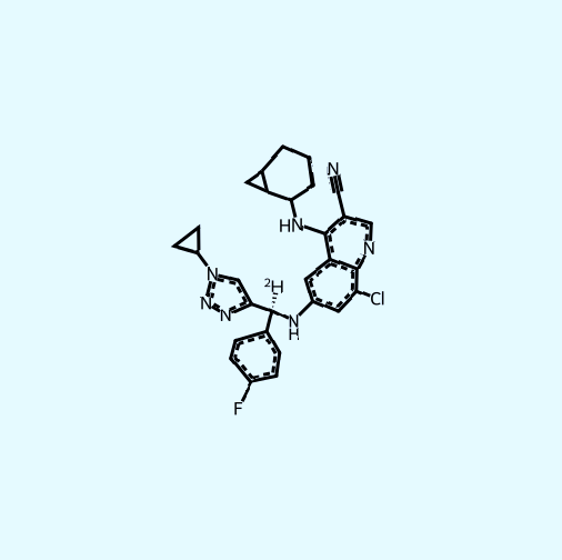 [2H][C@](Nc1cc(Cl)c2ncc(C#N)c(NC3CCCC4CC43)c2c1)(c1ccc(F)cc1)c1cn(C2CC2)nn1